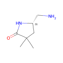 CC1(C)C[C@@H](CN)NC1=O